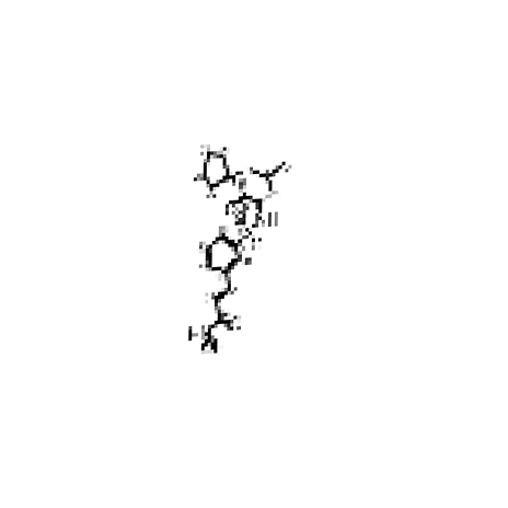 CC(C)C[C@H](NS(=O)(=O)c1cccc(C=CC(=O)NO)c1)C(=O)OC1CCCC1